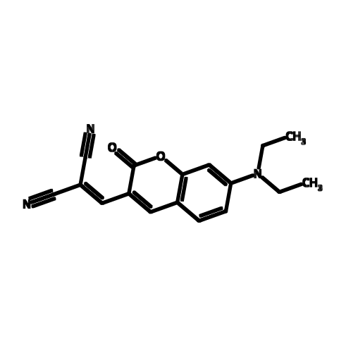 CCN(CC)c1ccc2cc(C=C(C#N)C#N)c(=O)oc2c1